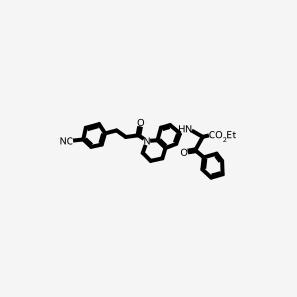 CCOC(=O)C(Nc1ccc2c(c1)CCCN2C(=O)CCc1ccc(C#N)cc1)C(=O)c1ccccc1